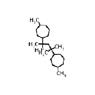 CC1CCCC(C(C)(C)CC(C)(P)C2CCCC(C)CC2)CC1